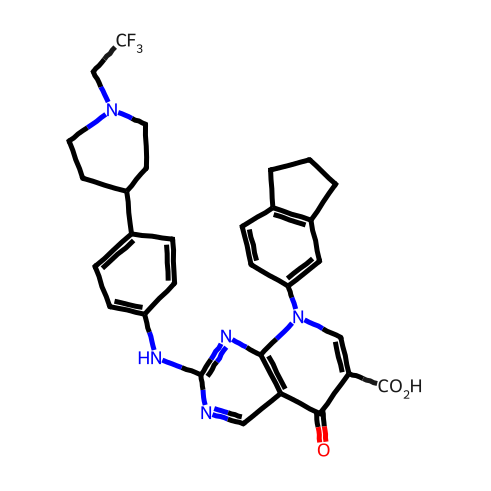 O=C(O)c1cn(-c2ccc3c(c2)CCC3)c2nc(Nc3ccc(C4CCN(CC(F)(F)F)CC4)cc3)ncc2c1=O